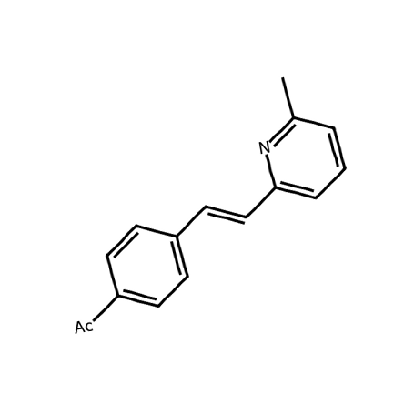 CC(=O)c1ccc(C=Cc2cccc(C)n2)cc1